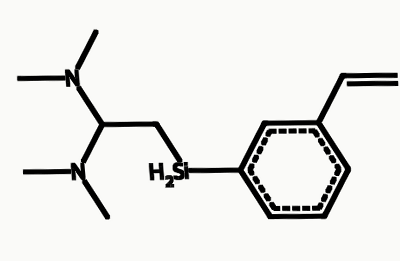 C=Cc1cccc([SiH2]CC(N(C)C)N(C)C)c1